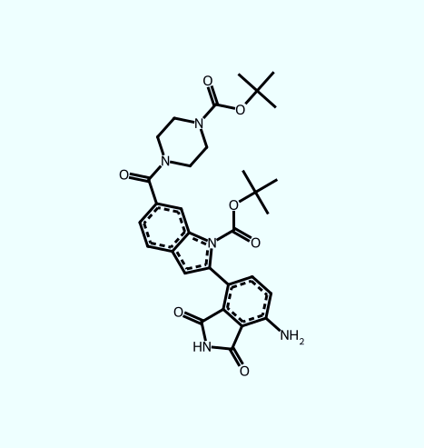 CC(C)(C)OC(=O)N1CCN(C(=O)c2ccc3cc(-c4ccc(N)c5c4C(=O)NC5=O)n(C(=O)OC(C)(C)C)c3c2)CC1